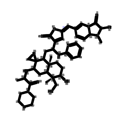 CCC1C(=O)N2C=C(/C=C3\C=C(C(CC4C5(CO5)C(NC(C)C(=O)N5CCOCC5)CC5[C@]4(C)CC[C@@H](O)[C@@]5(C)CO)Nc4ccccn4)C(=O)O3)C=CC2N1C